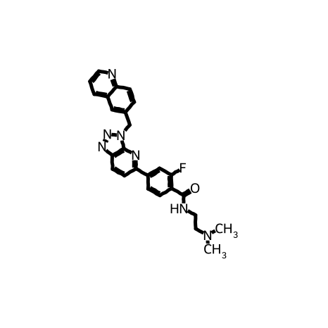 CN(C)CCNC(=O)c1ccc(-c2ccc3nnn(Cc4ccc5ncccc5c4)c3n2)cc1F